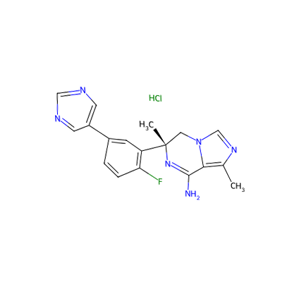 Cc1ncn2c1C(N)=N[C@](C)(c1cc(-c3cncnc3)ccc1F)C2.Cl